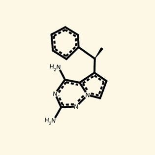 C[C@H](c1ccccc1)c1ccn2nc(N)nc(N)c12